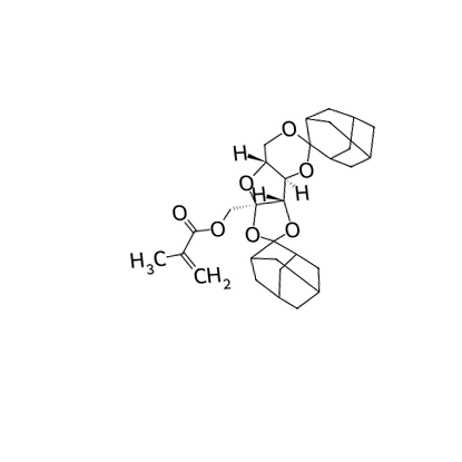 C=C(C)C(=O)OC[C@]12O[C@@H]3COC4(O[C@H]3[C@@H]1OC1(O2)C2CC3CC(C2)CC1C3)C1CC2CC(C1)CC4C2